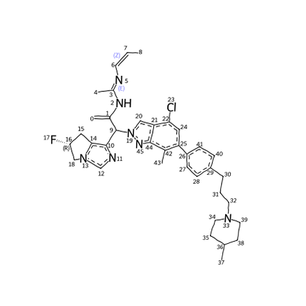 C=C(N/C(C)=N/C=C\C)C(c1ncn2c1C[C@@H](F)C2)n1cc2c(Cl)cc(-c3ccc(CCCN4CCC(C)CC4)cc3)c(C)c2n1